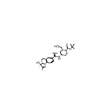 CO[C@](C)(C(C)=O)[C@H]1CCc2cc(C(=N)N[C@H]3CCN(C(=O)OC(C)(C)C)[C@H](CO)C3)ccc2O1